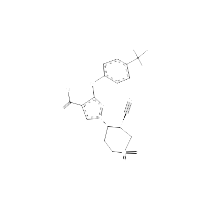 N#C[C@H]1CS(=O)(=O)CC[C@H]1n1cc(C(N)=O)c(Nc2ccc(C(F)(F)F)cc2)n1